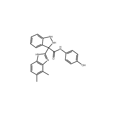 Cc1ccc2[nH]c(C3(C(=O)Nc4ccc(O)cc4)NNc4ccccc43)nc2c1C